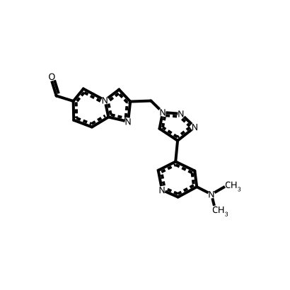 CN(C)c1cncc(-c2cn(Cc3cn4cc(C=O)ccc4n3)nn2)c1